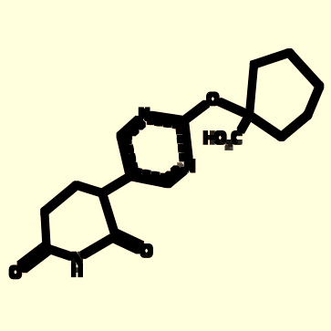 O=C1CCC(c2cnc(OC3(C(=O)O)CCCCC3)nc2)C(=O)N1